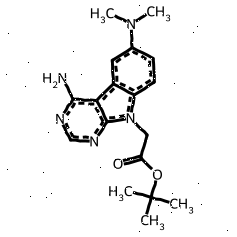 CN(C)c1ccc2c(c1)c1c(N)ncnc1n2CC(=O)OC(C)(C)C